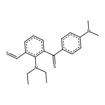 CCN(CC)c1c([C]=S)cccc1C(=S)c1ccc(N(C)C)cc1